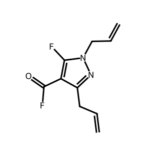 C=CCc1nn(CC=C)c(F)c1C(=O)F